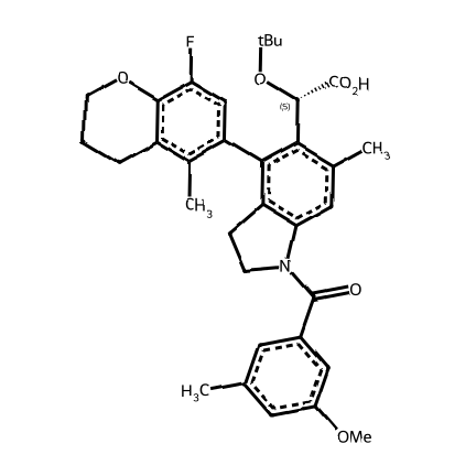 COc1cc(C)cc(C(=O)N2CCc3c2cc(C)c([C@H](OC(C)(C)C)C(=O)O)c3-c2cc(F)c3c(c2C)CCCO3)c1